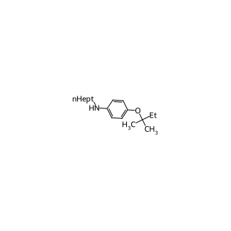 CCCCCCCNc1ccc(OC(C)(C)CC)cc1